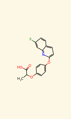 CC(Oc1ccc(Oc2ccc3ccc(F)cc3n2)cc1)C(=O)O